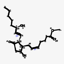 CCCCC[C@H](O)/C=C/[C@H]1C(=O)C[C@H](O)[C@@H]1C/C=C\CCCC(=O)OC